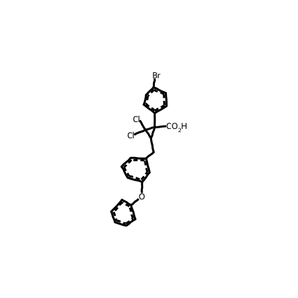 O=C(O)C1(c2ccc(Br)cc2)C(Cc2cccc(Oc3ccccc3)c2)C1(Cl)Cl